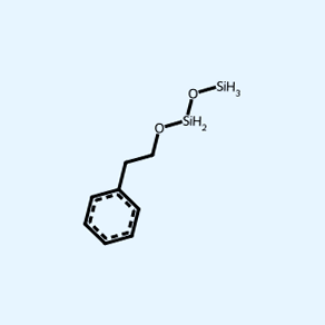 [SiH3]O[SiH2]OCCc1ccccc1